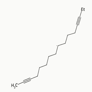 CC#CCCCCC[CH]CCCC#CCC